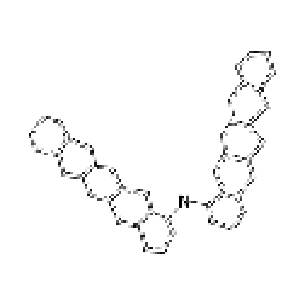 c1ccc2cc3cc4cc5c([N]c6cccc7cc8cc9cc%10ccccc%10cc9cc8cc67)cccc5cc4cc3cc2c1